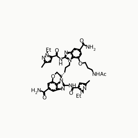 CCn1nc(C)cc1C(=O)Nc1nc2cc(C(N)=O)cc(OCCCNC(C)=O)c2n1CCC[C@H]1COc2cc(C(N)=O)cc3nc(NC(=O)c4cc(C)nn4CC)n1c23